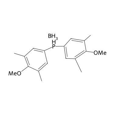 B.COc1c(C)cc(Pc2cc(C)c(OC)c(C)c2)cc1C